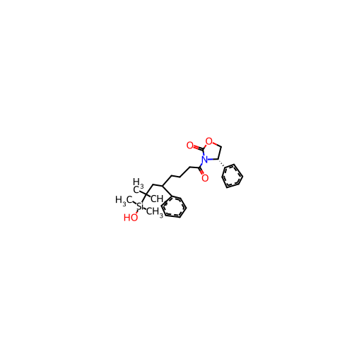 CC(C)(CC(CCCC(=O)N1C(=O)OC[C@@H]1c1ccccc1)c1ccccc1)[Si](C)(C)O